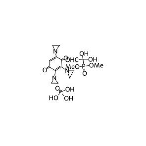 COP(=O)(OC)C(O)(O)C=O.O=C1C=C(N2CC2)C(=O)C(N2CC2)=C1N1CC1.O=P(O)(O)O